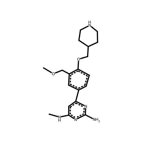 CNc1cc(-c2ccc(OCC3CCNCC3)c(COC)c2)nc(N)n1